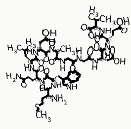 CSCC[C@H](N)C(=O)N[C@@H](Cc1c[nH]c2ccccc12)C(=O)N[C@@H](CCC(N)=O)C(=O)N[C@@H](CC(C)C)C(=O)N[C@@H](CC(=O)O)C(=O)N[C@@H](C)C(=O)NCC(=O)NCC(=O)N[C@@H](CC(=O)O)C(=O)N[C@@H](CCC(=O)O)C(=O)N[C@H](C(=O)O)C(C)C